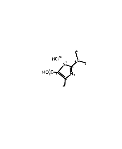 Cc1nc(N(C)C)sc1C(=O)O.Cl